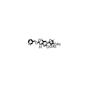 CC(=O)O[C@@H]1[C@H](OC(C)=O)[C@@H](C)O[C@H]1n1cc(I)c(NC(=O)OCc2cccnc2)nc1=O